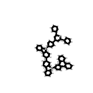 c1ccc(-c2cc(-c3ccc(-n4c5ccccc5c5cc(-c6ccc7c8ccccc8n(-c8ccc9c%10ccccc%10c%10ccccc%10c9c8)c7c6)ccc54)cc3)cc(-c3ccccc3)n2)cc1